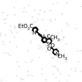 CCOC(=O)c1ccc(C#Cc2ccc3c(c2)C(C)(C)CC(OC(=O)C2CCN(C)CC2)S3)nc1